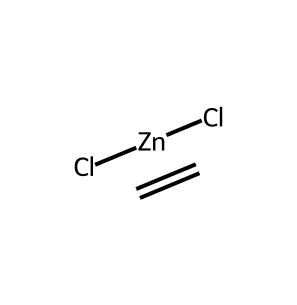 C=C.[Cl][Zn][Cl]